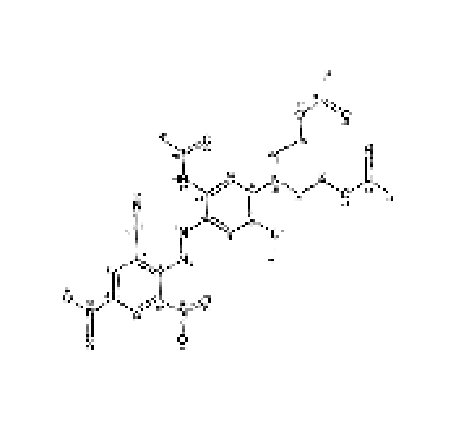 COc1cc(/N=N/c2c(C#N)cc([N+](=O)[O-])cc2[N+](=O)[O-])c(NC(C)=O)cc1N(CCOC(C)=O)CCOC(C)=O